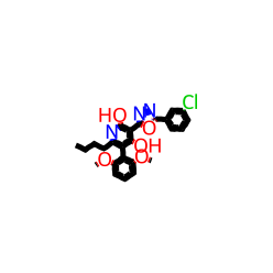 CCCCc1nc(O)c(-c2nnc(-c3cccc(Cl)c3)o2)c(O)c1-c1c(OC)cccc1OC